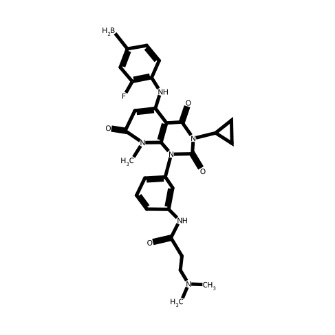 Bc1ccc(Nc2cc(=O)n(C)c3c2c(=O)n(C2CC2)c(=O)n3-c2cccc(NC(=O)CCN(C)C)c2)c(F)c1